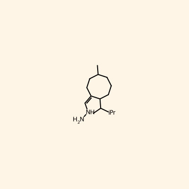 CC1CCCC(C(C)C(C)C)/C(=C\NN)CC1